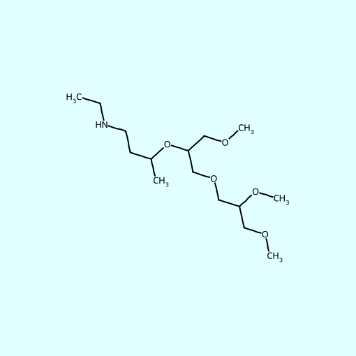 CCNCCC(C)OC(COC)COCC(COC)OC